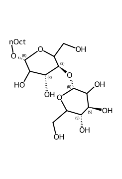 CCCCCCCCO[C@@H]1OC(CO)[C@@H](O[C@H]2OC(CO)[C@@H](O)[C@H](O)C2O)[C@H](O)C1O